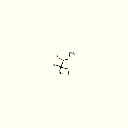 CCC([O])C(C)(Cl)CCl